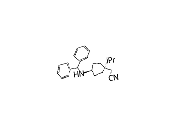 CC(C)[C@]1(CC#N)CC[C@@H](NC(c2ccccc2)c2ccccc2)CC1